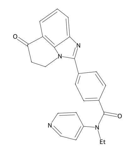 CCN(C(=O)c1ccc(-c2nc3cccc4c3n2CCC4=O)cc1)c1ccncc1